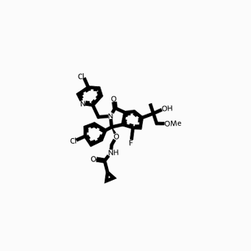 COCC(C)(O)c1cc(F)c2c(c1)C(=O)N(Cc1ccc(Cl)cn1)[C@@]2(OCNC(=O)C1CC1)c1ccc(Cl)cc1